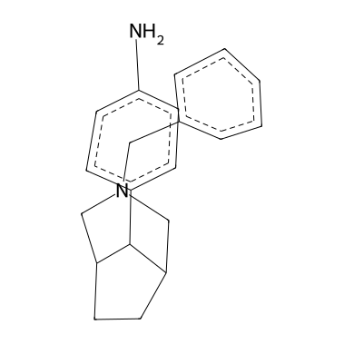 Nc1ccc(C2C3CCC2CN(Cc2ccccc2)C3)cc1